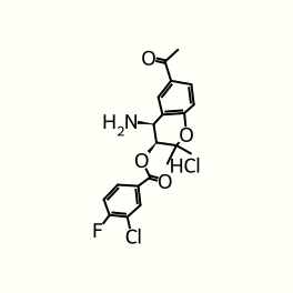 CC(=O)c1ccc2c(c1)[C@H](N)[C@H](OC(=O)c1ccc(F)c(Cl)c1)C(C)(C)O2.Cl